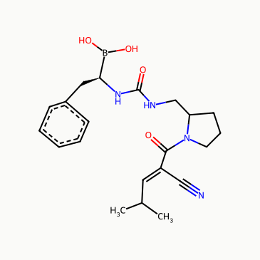 CC(C)C=C(C#N)C(=O)N1CCCC1CNC(=O)N[C@@H](Cc1ccccc1)B(O)O